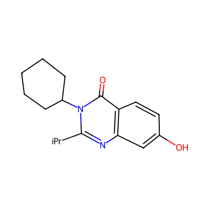 CC(C)c1nc2cc(O)ccc2c(=O)n1C1CCCCC1